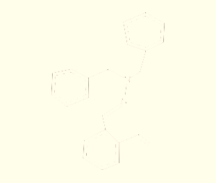 O=Cc1ccccc1C=NN(Cc1ccccc1)Cc1ccccc1